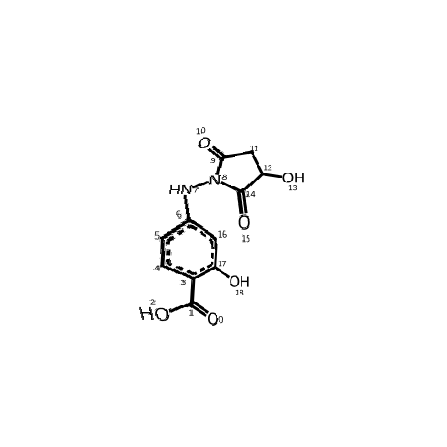 O=C(O)c1ccc(NN2C(=O)CC(O)C2=O)cc1O